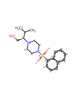 CC(C)[C@H](CO)N1CCN(S(=O)(=O)c2cccc3ccccc23)CC1